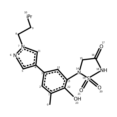 Cc1cc(-c2cnn(CCC(C)C)c2)cc(N2CC(=O)NS2(=O)=O)c1O